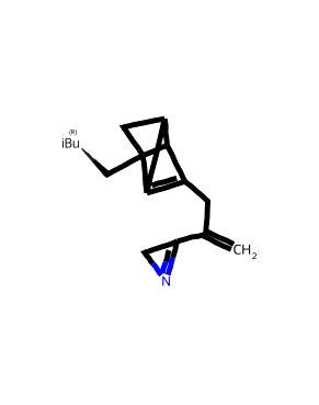 C=C(CC1=C2C3CC2(C[C@H](C)CC)C13)C1=NC1